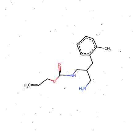 C=CCOC(=O)NCC(CN)Cc1ccccc1C